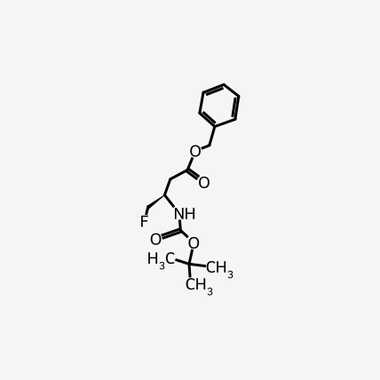 CC(C)(C)OC(=O)N[C@@H](CF)CC(=O)OCc1ccccc1